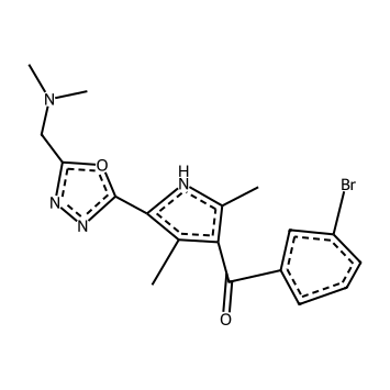 Cc1[nH]c(-c2nnc(CN(C)C)o2)c(C)c1C(=O)c1cccc(Br)c1